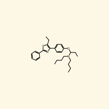 CCCCN(CCCC)C(CC)Oc1ccc(-c2nc(-c3ccccc3)sc2CC)cc1